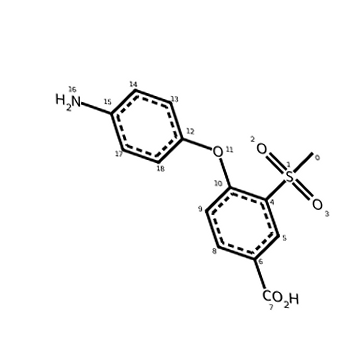 CS(=O)(=O)c1cc(C(=O)O)ccc1Oc1ccc(N)cc1